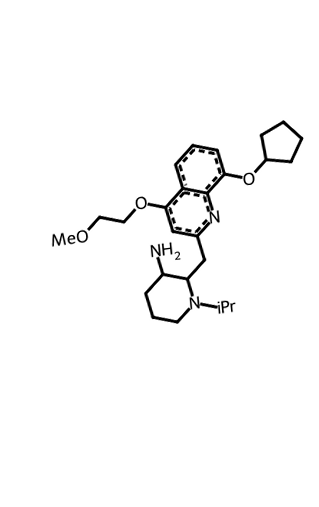 COCCOc1cc(CC2C(N)CCCN2C(C)C)nc2c(OC3CCCC3)cccc12